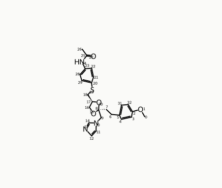 COc1ccc(CC[C@]2(Cn3ccnc3)OC[C@@H](CSc3ccc(NC(C)=O)cc3)O2)cc1